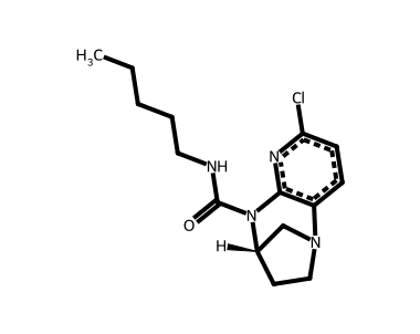 CCCCCNC(=O)N1c2nc(Cl)ccc2N2CC[C@H]1C2